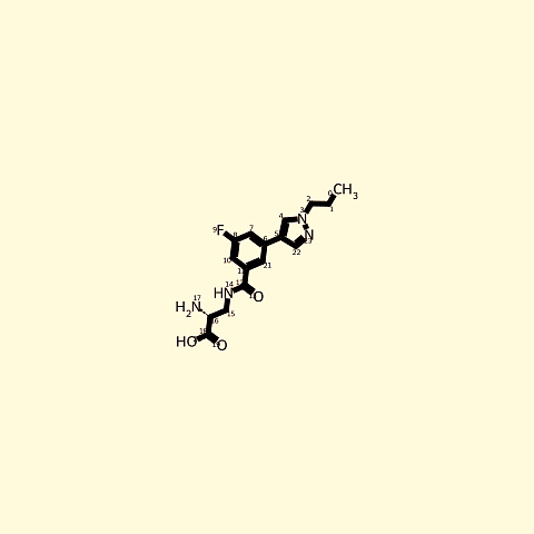 CCCn1cc(-c2cc(F)cc(C(=O)NC[C@@H](N)C(=O)O)c2)cn1